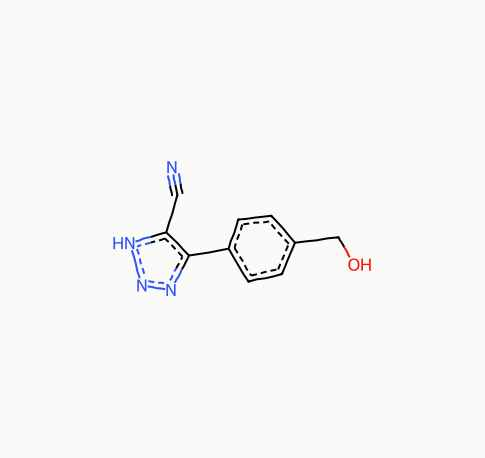 N#Cc1[nH]nnc1-c1ccc(CO)cc1